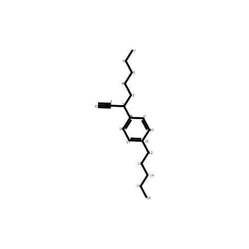 [C]#CC(CCCCC)c1ccc(CCCCC)cc1